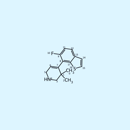 CC1(C)CNCC=C1c1c(F)ccc2ccsc12